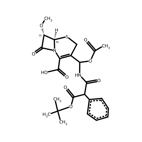 CO[C@H]1C(=O)N2C(C(=O)O)=C(C(NC(=O)C(C(=O)OC(C)(C)C)c3ccccc3)OC(C)=O)CS[C@H]12